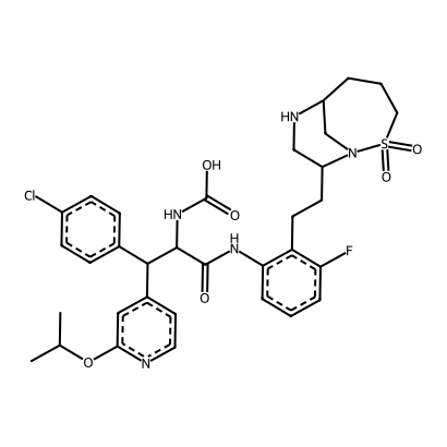 CC(C)Oc1cc(C(c2ccc(Cl)cc2)C(NC(=O)O)C(=O)Nc2cccc(F)c2CCC2CNC3CCCS(=O)(=O)N2C3)ccn1